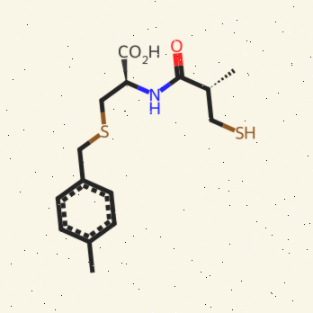 Cc1ccc(CSC[C@H](NC(=O)[C@H](C)CS)C(=O)O)cc1